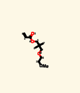 C=CC(=O)OCC(C)(C)COCCOC